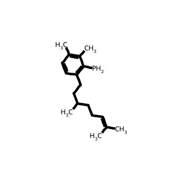 CC(C)=CCCC(C)CCc1ccc(C)c(C)c1P